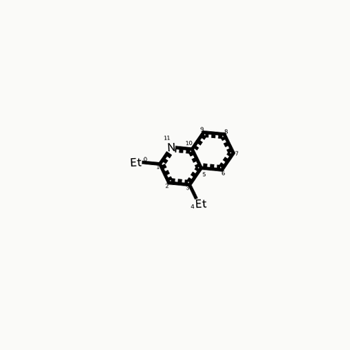 CCc1cc(CC)c2ccccc2n1